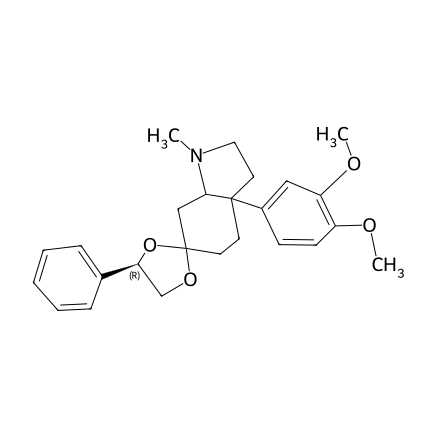 COc1ccc(C23CCN(C)C2CC2(CC3)OC[C@@H](c3ccccc3)O2)cc1OC